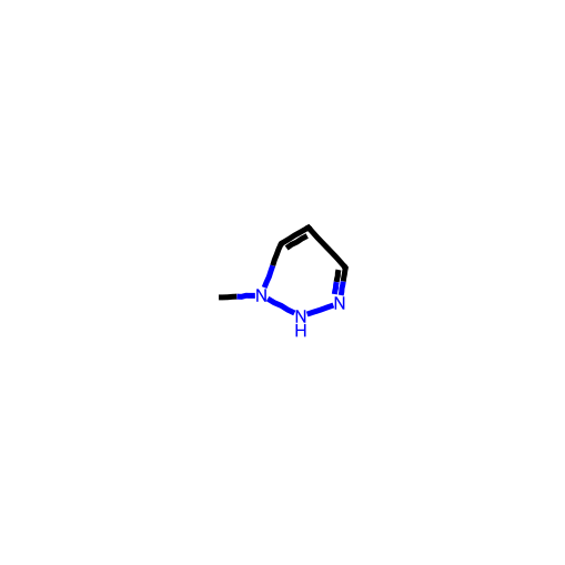 CN1C=CC=NN1